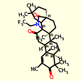 CC1(C)CC[C@]23CC[C@@]4(C)[C@]5(C)CC[C@H]6C(C)(C)C(=O)C(C#N)=C[C@]6(C)[C@H]5CC(=O)[C@@]4(C2C1)N(CC(F)(F)F)C3=O